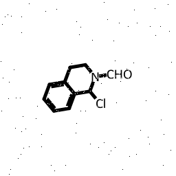 O=CN1CCc2ccccc2C1Cl